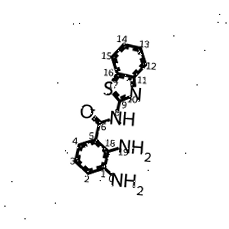 Nc1cccc(C(=O)Nc2nc3ccccc3s2)c1N